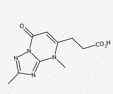 Cc1nc2n(C)c(CCC(=O)O)cc(=O)n2n1